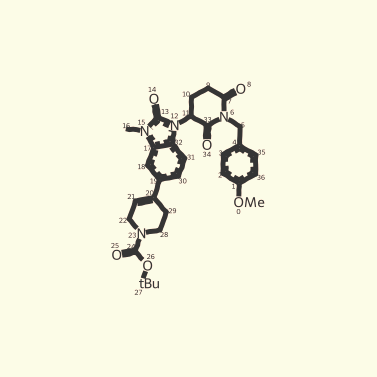 COc1ccc(CN2C(=O)CCC(n3c(=O)n(C)c4cc(C5=CCN(C(=O)OC(C)(C)C)CC5)ccc43)C2=O)cc1